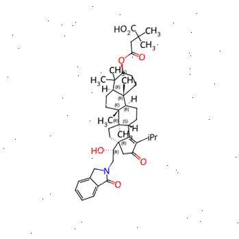 CC(C)C1=C2[C@H]3CC[C@@H]4[C@@]5(C)CC[C@H](OC(=O)CC(C)(C)C(=O)O)C(C)(C)[C@@H]5CC[C@@]4(C)[C@]3(C)CC[C@@]2([C@@H](O)CN2Cc3ccccc3C2=O)CC1=O